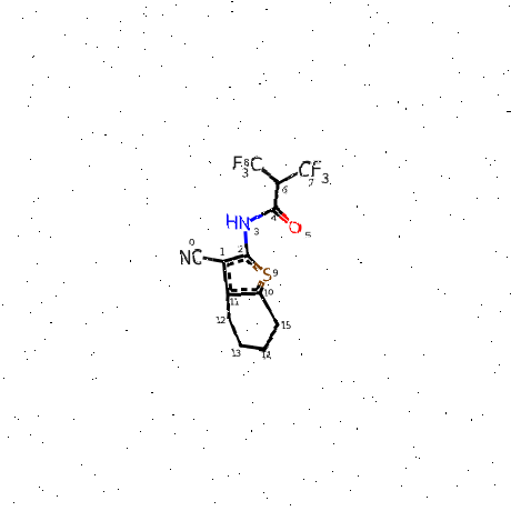 N#Cc1c(NC(=O)C(C(F)(F)F)C(F)(F)F)sc2c1CCCC2